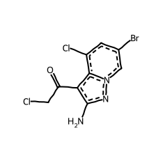 Nc1nn2cc(Br)cc(Cl)c2c1C(=O)CCl